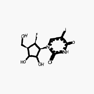 O=c1[nH]c(=O)n([C@H]2C(O)C(O)[C@@H](CO)[C@H]2F)cc1I